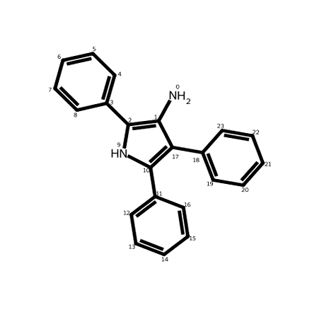 Nc1c(-c2ccccc2)[nH]c(-c2ccccc2)c1-c1ccccc1